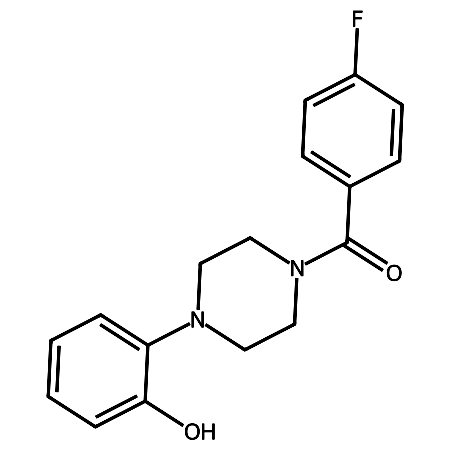 O=C(c1ccc(F)cc1)N1CCN(c2ccccc2O)CC1